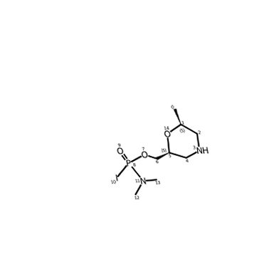 C[C@H]1CNC[C@@H](COP(=O)(I)N(C)C)O1